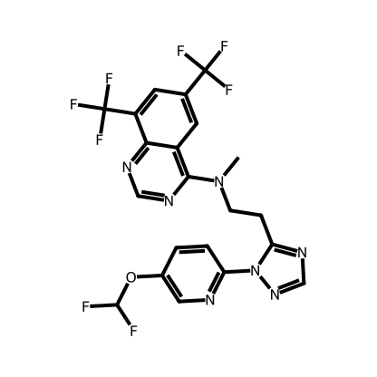 CN(CCc1ncnn1-c1ccc(OC(F)F)cn1)c1ncnc2c(C(F)(F)F)cc(C(F)(F)F)cc12